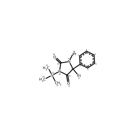 CCC1(c2ccccc2)C(=O)N([Si](C)(C)C)C(=O)N1C(C)C